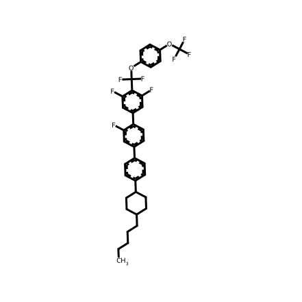 CCCCCC1CCC(c2ccc(-c3ccc(-c4cc(F)c(C(F)(F)Oc5ccc(OC(F)(F)F)cc5)c(F)c4)c(F)c3)cc2)CC1